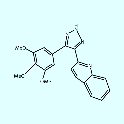 COc1cc(-c2n[nH]nc2-c2ccc3ccccc3n2)cc(OC)c1OC